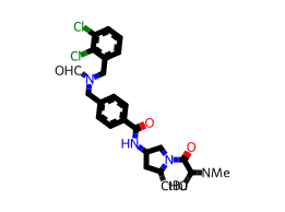 CNC(C(=O)N1CC(NC(=O)c2ccc(CN(C=O)Cc3cccc(Cl)c3Cl)cc2)CC1C=O)C(C)(C)C